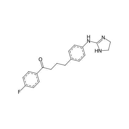 O=C(CCCc1ccc(NC2=NCCN2)cc1)c1ccc(F)cc1